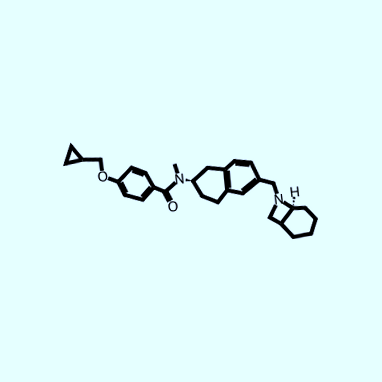 CN(C(=O)c1ccc(OCC2CC2)cc1)[C@H]1CCc2cc(CN3CC4CCCC[C@@H]43)ccc2C1